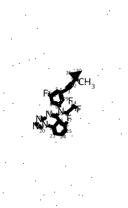 CC1(C#Cc2cc(F)cc(N(CC(F)F)c3nc4nncn4c4cccc(F)c34)c2)CC1